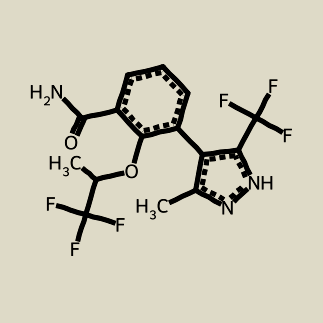 Cc1n[nH]c(C(F)(F)F)c1-c1cccc(C(N)=O)c1OC(C)C(F)(F)F